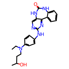 CCN(CCC(C)O)c1ccc(Nc2ncc3c(n2)-c2ccccc2NC(=O)N3)cc1